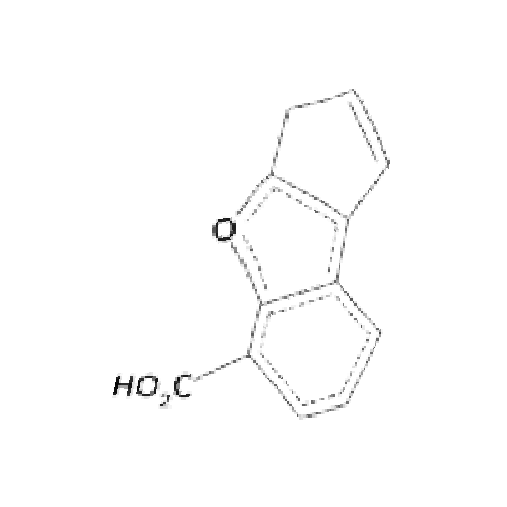 O=C(O)c1cccc2c3c(oc12)CC=C3